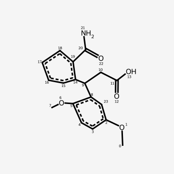 COc1ccc(OC)c(C(CC(=O)O)c2ccccc2C(N)=O)c1